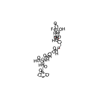 C[C@]12C=CC(=O)C=C1[C@@H](F)C[C@H]1[C@@H]3C[C@H]4OC(c5ccc(CC67CC(NC(=O)OCc8ccc(NC(=O)[C@H](CCC(=O)O)NC(=O)CNC(=O)CCC(=O)N9Cc%10ccccc%10C#Cc%10ccccc%109)cc8)(C6)C7)cc5)O[C@@]4(C(=O)CO)[C@@]3(C)C[C@H](O)[C@@]12F